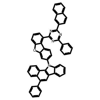 c1ccc(-c2nc(-c3ccc4ccccc4c3)nc(-c3cccc4oc5cc(-n6c7ccccc7c7cc(-c8ccccc8)c8ccccc8c76)ccc5c34)n2)cc1